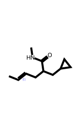 C/C=C/CC(CC1CC1)C(=O)NC